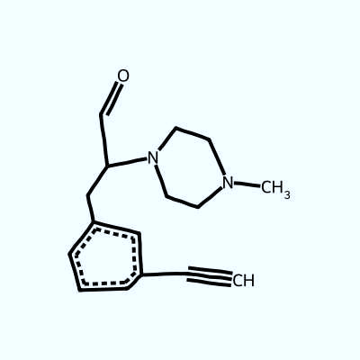 C#Cc1cccc(CC(C=O)N2CCN(C)CC2)c1